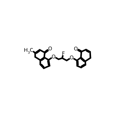 CC1=CC(=O)c2c(cccc2OCC(F)COc2cccc3c2C(=O)C=CC3)C1